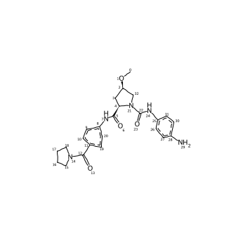 CO[C@@H]1C[C@H](C(=O)Nc2ccc(C(=O)N3CCCC3)cc2)N(C(=O)Nc2ccc(N)cc2)C1